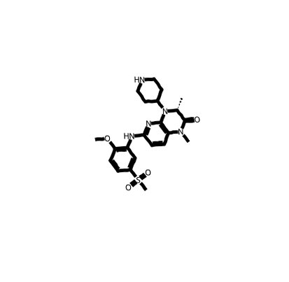 COc1ccc(S(C)(=O)=O)cc1Nc1ccc2c(n1)N(C1CCNCC1)[C@H](C)C(=O)N2C